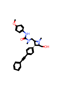 COc1ccc(NC(=O)N(C)CC2[C@@H](c3ccc(C#Cc4ccccc4)cc3)C(CO)N2C)cc1